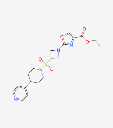 CCOC(=O)c1coc(N2CC(S(=O)(=O)N3CCC(c4ccncc4)CC3)C2)n1